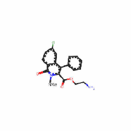 CNn1c(C(=O)OCCN)c(-c2ccccc2)c2cc(Cl)ccc2c1=O